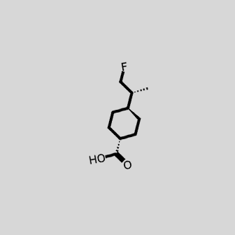 C[C@@H](CF)[C@H]1CC[C@H](C(=O)O)CC1